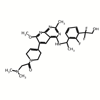 COc1nc2nc(C)nc(NC(C)c3cccc(C(F)(F)CO)c3F)c2cc1C1=CCN(C(=O)CN(C)C)CC1